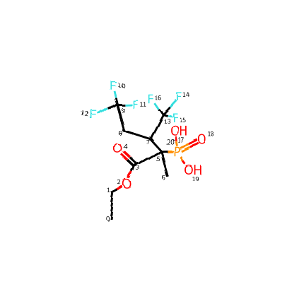 CCOC(=O)C(C)(C(CC(F)(F)F)C(F)(F)F)P(=O)(O)O